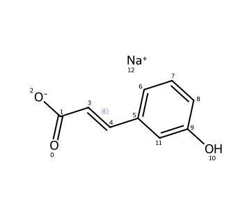 O=C([O-])/C=C/c1cccc(O)c1.[Na+]